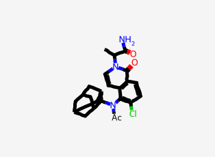 CC(=O)N(c1c(Cl)ccc2c(=O)n(C(C)C(N)=O)ccc12)C1C2CC3CC(C2)CC1C3